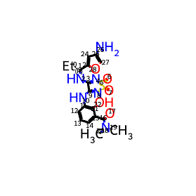 CC[C@@H](NC1=NS(=O)(=O)N=C1Nc1cccc(C(=O)N(C)C)c1O)c1cc(N)co1